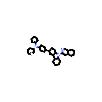 c1ccc(N(c2ccccc2)c2ccc(-c3ccc4c(c3)c3ccccc3n4-c3cc4ccccc4cn3)cc2)cc1